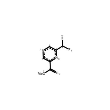 COC(=O)c1cncc(C(F)F)n1